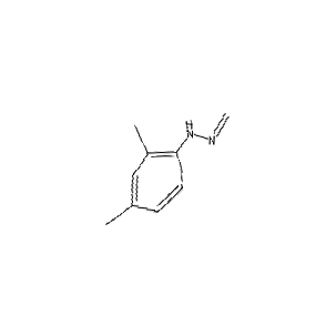 C=NNc1ccc(C)cc1C